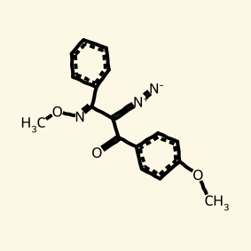 CON=C(C(=[N+]=[N-])C(=O)c1ccc(OC)cc1)c1ccccc1